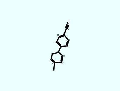 CC1=CCC(c2ccc(C#N)cc2)C=[C]1